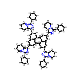 c1ccc(-c2nc(-c3cc4cc(-c5nc(-c6ccccc6)n6ccccc56)cc5c6cc(-c7nc(-c8ccccc8)n8ccccc78)cc7cc(-c8nc(-c9ccccc9)n9ccccc89)cc(c(c3)c45)c76)c3ccccn23)cc1